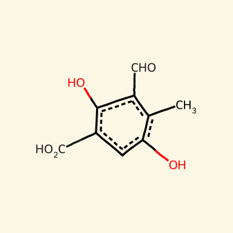 Cc1c(O)cc(C(=O)O)c(O)c1C=O